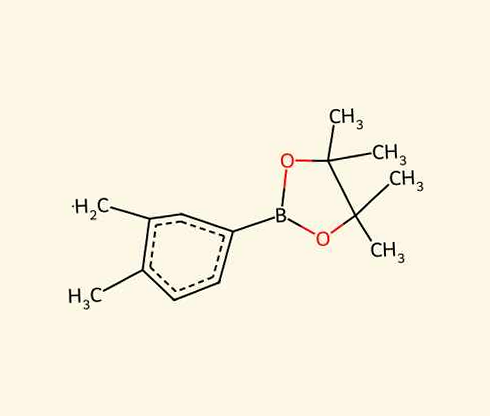 [CH2]c1cc(B2OC(C)(C)C(C)(C)O2)ccc1C